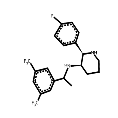 CC(N[C@@H]1CCCN[C@@H]1c1ccc(F)cc1)c1cc(C(F)(F)F)cc(C(F)(F)F)c1